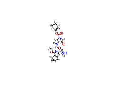 CC(C)CC(C(=O)N1CCC2C1C(=O)CN2C(=O)Oc1ccccc1)N(C(=O)c1ccccc1)C1CCNC1